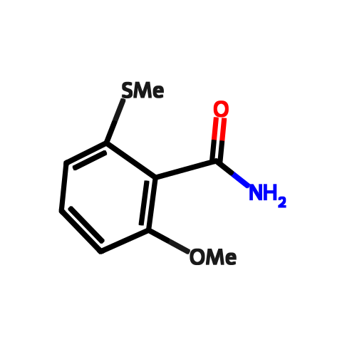 COc1cccc(SC)c1C(N)=O